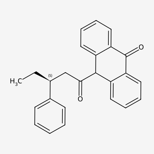 CC[C@@H](CC(=O)C1c2ccccc2C(=O)c2ccccc21)c1ccccc1